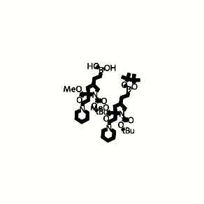 COC(=O)C1(CCN2CCCCC2)CC(CCB(O)O)CN1C(=O)OC(C)(C)C.COC(=O)C1(CCN2CCCCC2)CC(CCB2OC(C)(C)C(C)(C)O2)CN1C(=O)OC(C)(C)C